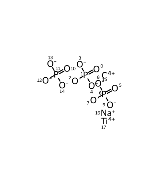 O=P([O-])([O-])[O-].O=P([O-])([O-])[O-].O=P([O-])([O-])[O-].[C+4].[Na+].[Ti+4]